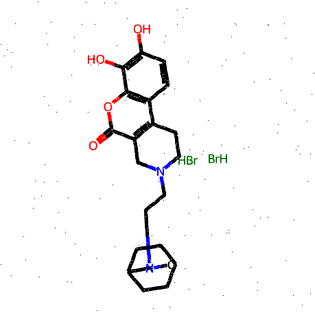 Br.Br.O=c1oc2c(O)c(O)ccc2c2c1CN(CCN1CC3CCC(CC3)C1)CC2